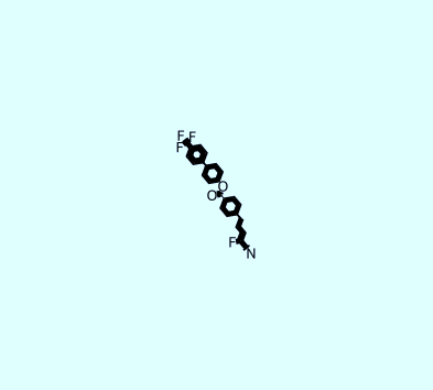 N#CC(F)=CCC[C@H]1CC[C@H](C(=O)O[C@H]2CC[C@H](c3ccc(C(F)(F)F)cc3)CC2)CC1